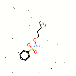 CCCCONS(=O)(=O)c1ccccc1